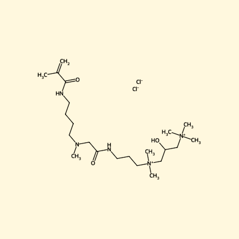 C=C(C)C(=O)NCCCCN(C)CC(=O)NCCC[N+](C)(C)CC(O)C[N+](C)(C)C.[Cl-].[Cl-]